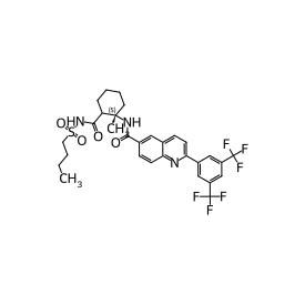 CCCCS(=O)(=O)NC(=O)C1CCCC[C@]1(C)NC(=O)c1ccc2nc(-c3cc(C(F)(F)F)cc(C(F)(F)F)c3)ccc2c1